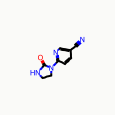 N#Cc1ccc(N2CCNC2=O)nc1